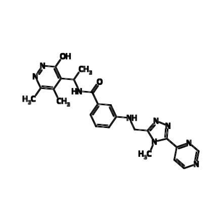 Cc1nnc(O)c(C(C)NC(=O)c2cccc(NCc3nnc(-c4ccncn4)n3C)c2)c1C